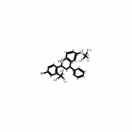 Fc1ccc(C2CC(c3ccccc3)c3cc(OC(F)(F)F)ccc3N2)c(C(F)(F)F)c1